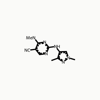 CNc1nc(Nc2cn(C)nc2C)ncc1C#N